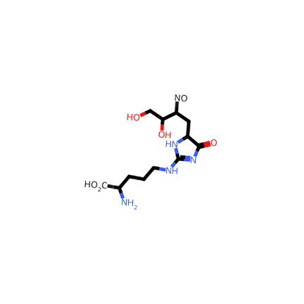 NC(CCCNC1=NC(=O)C(CC(N=O)C(O)CO)N1)C(=O)O